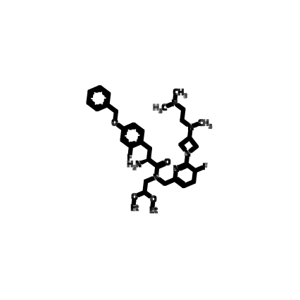 CCOC(CN(CC1=CCC(F)C(N2CC(N(C)CCN(C)C)C2)=N1)C(=O)[C@@H](N)Cc1ccc(OCc2ccccc2)cc1F)OCC